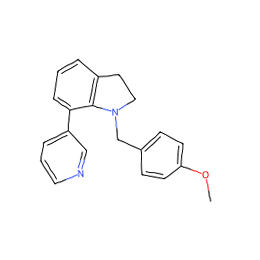 COc1ccc(CN2CCc3cccc(-c4cccnc4)c32)cc1